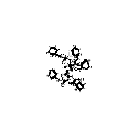 CC(C)C[C@H](NC(CCNC(=O)OCc1ccccc1)P(=O)(OCc1ccccc1)OCc1ccccc1)C(=O)N[C@@H](Cc1c[nH]c2ccccc12)C(=O)OCc1ccccc1